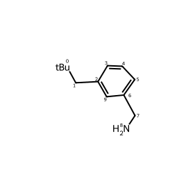 CC(C)(C)Cc1cccc(CN)c1